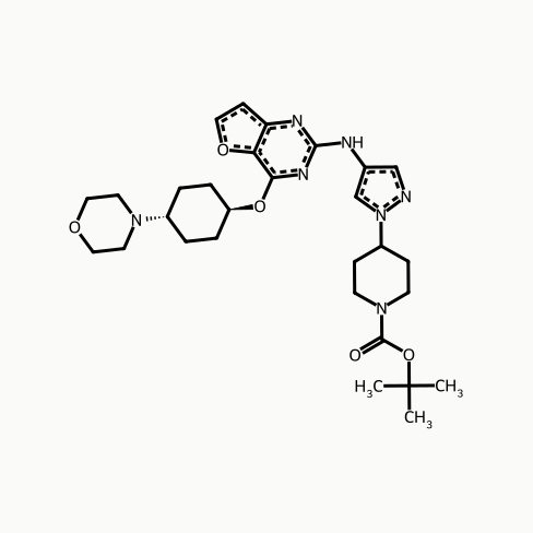 CC(C)(C)OC(=O)N1CCC(n2cc(Nc3nc(O[C@H]4CC[C@H](N5CCOCC5)CC4)c4occc4n3)cn2)CC1